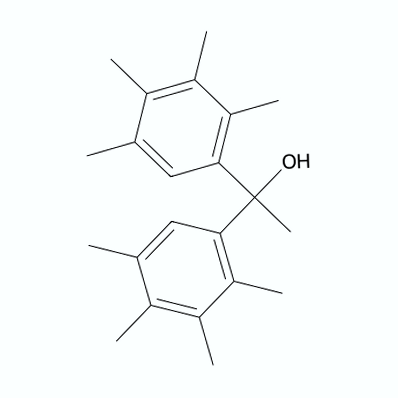 Cc1cc(C(C)(O)c2cc(C)c(C)c(C)c2C)c(C)c(C)c1C